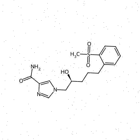 CS(=O)(=O)c1ccccc1CCC[C@H](O)Cn1cnc(C(N)=O)c1